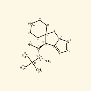 [2H]N([C@@H]1c2ccnn2CC12CCNCC2)[S@+]([O-])C(C)(C)C